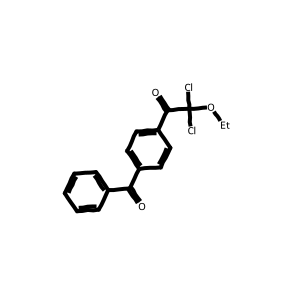 CCOC(Cl)(Cl)C(=O)c1ccc(C(=O)c2ccccc2)cc1